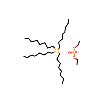 CCCCCCCC[P+](CCCCCCCC)(CCCCCCCC)CCCCCCCC.CCOP(=O)([O-])OCC